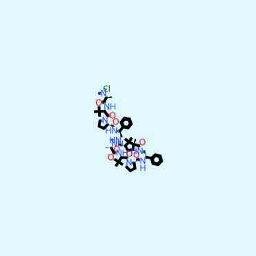 CN[C@@H](C)C(=O)N[C@H](C(=O)N1CCC[C@H]1C(=O)N[C@H](CNC(=O)[C@]1(C)CC[C@H](C(=O)NC[C@@H](NC(=O)[C@@H]2CCCN2C(=O)[C@@H](NC(=O)[C@H](C)N(C)Cl)C(C)(C)C)c2ccccc2)C1(C)C)c1ccccc1)C(C)(C)C